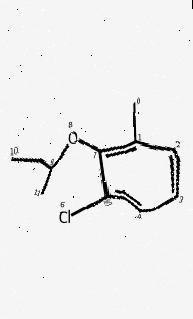 Cc1cccc(Cl)c1OC(C)C